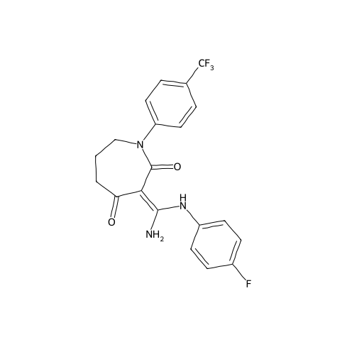 NC(Nc1ccc(F)cc1)=C1C(=O)CCCN(c2ccc(C(F)(F)F)cc2)C1=O